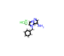 Cl.Cl.Nc1cnn2ccn(Cc3ccccc3)c12